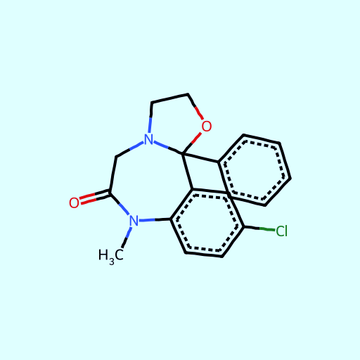 CN1C(=O)CN2CCOC2(c2ccccc2)c2cc(Cl)ccc21